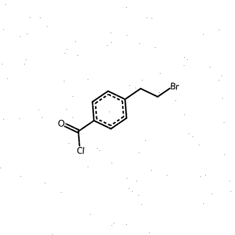 O=C(Cl)c1ccc(CCBr)cc1